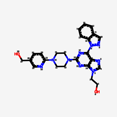 OCCn1cnc2c(-n3ncc4ccccc43)nc(N3CCN(c4ccc(CO)cn4)CC3)nc21